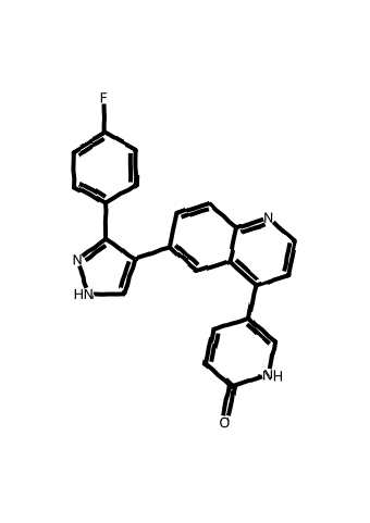 O=c1ccc(-c2ccnc3ccc(-c4c[nH]nc4-c4ccc(F)cc4)cc23)c[nH]1